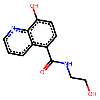 O=C(NCCO)c1ccc(O)c2ncccc12